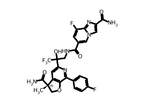 C[C@]1(C(N)=O)COc2c1cc(C(O)(CNC(=O)c1cc(F)c3nc(C(N)=O)cn3c1)C(F)(F)F)nc2-c1ccc(F)cc1